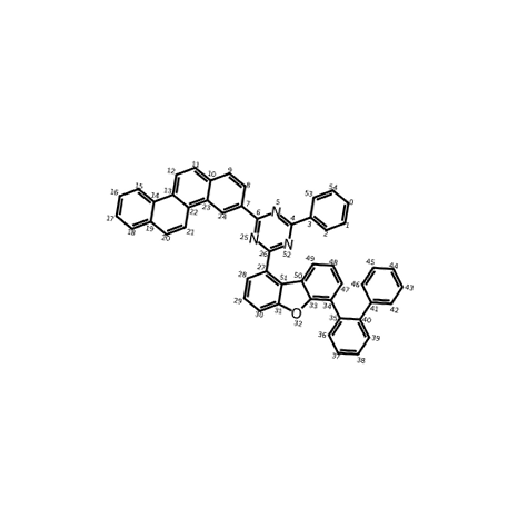 c1ccc(-c2nc(-c3ccc4ccc5c6ccccc6ccc5c4c3)nc(-c3cccc4oc5c(-c6ccccc6-c6ccccc6)cccc5c34)n2)cc1